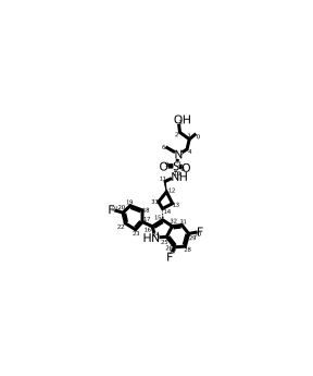 CC(CO)CN(C)S(=O)(=O)NC[C@H]1C[C@H](c2c(-c3ccc(F)cc3)[nH]c3c(F)cc(F)cc32)C1